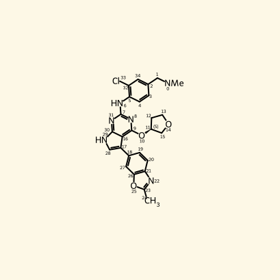 CNCc1ccc(Nc2nc(O[C@H]3CCOC3)c3c(-c4ccc5nc(C)oc5c4)c[nH]c3n2)c(Cl)c1